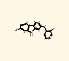 Cc1cnccc1Cc1ccc2c(c1)[nH]c1cc(F)ccc12